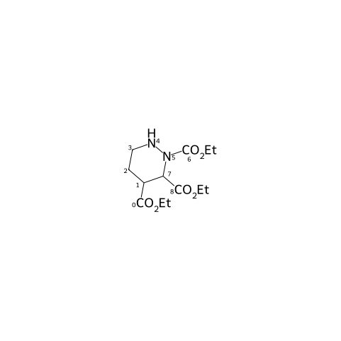 CCOC(=O)C1CCNN(C(=O)OCC)C1C(=O)OCC